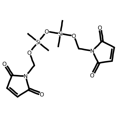 C[Si](C)(OCN1C(=O)C=CC1=O)O[Si](C)(C)OCN1C(=O)C=CC1=O